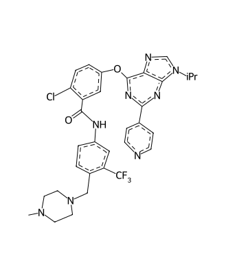 CC(C)n1cnc2c(Oc3ccc(Cl)c(C(=O)Nc4ccc(CN5CCN(C)CC5)c(C(F)(F)F)c4)c3)nc(-c3ccncc3)nc21